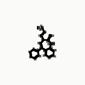 NN=NC1N=C(c2ccccc2)c2ccccc2NC1=O